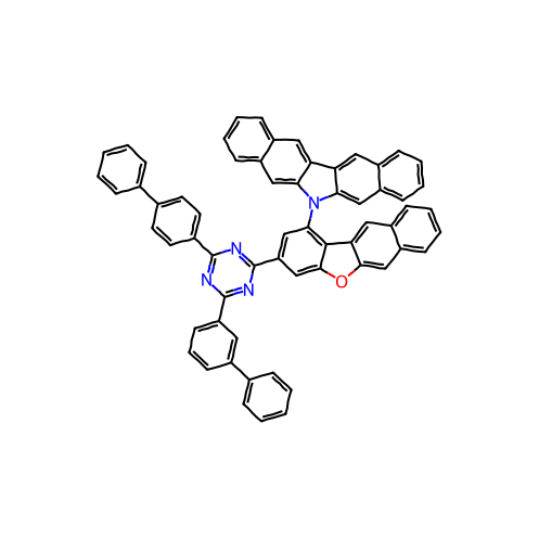 c1ccc(-c2ccc(-c3nc(-c4cccc(-c5ccccc5)c4)nc(-c4cc(-n5c6cc7ccccc7cc6c6cc7ccccc7cc65)c5c(c4)oc4cc6ccccc6cc45)n3)cc2)cc1